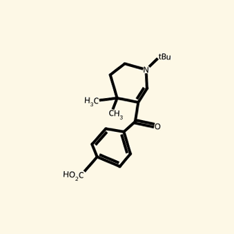 CC1(C)CCN(C(C)(C)C)C=C1C(=O)c1ccc(C(=O)O)cc1